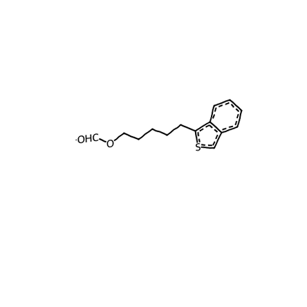 O=[C]OCCCCCc1scc2ccccc12